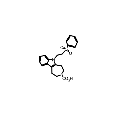 O=C(O)N1CCc2c(n(CCS(=O)(=O)c3ccccc3)c3ccccc23)CC1